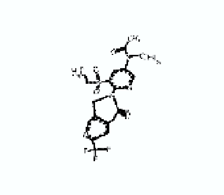 CCS(=O)(=O)c1cc(N(C)C(C)=O)cnc1N1Cc2cnc(C(F)(F)F)cc2C1=O